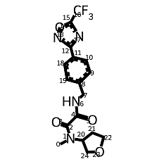 CN(C(=O)C(=O)NCc1ccc(-c2noc(C(F)(F)F)n2)cc1)C1CCOC1